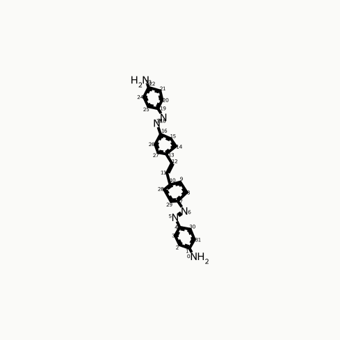 Nc1ccc(/N=N/c2ccc(/C=C/c3ccc(/N=N/c4ccc(N)cc4)cc3)cc2)cc1